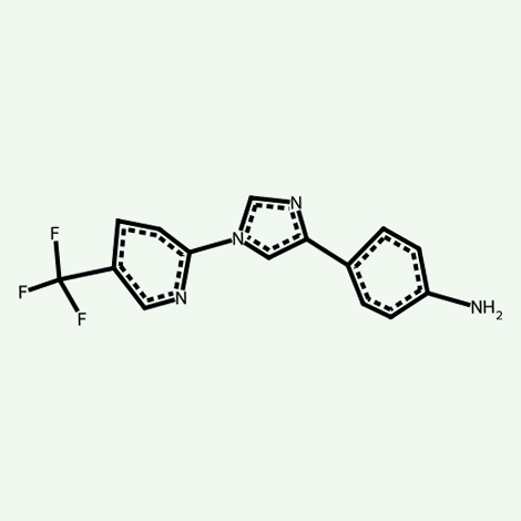 Nc1ccc(-c2cn(-c3ccc(C(F)(F)F)cn3)cn2)cc1